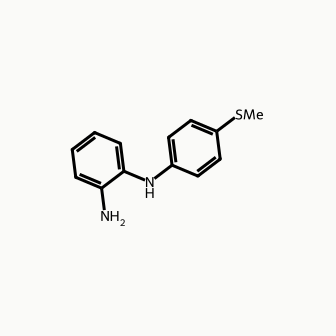 CSc1ccc(Nc2ccccc2N)cc1